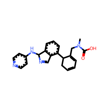 CN(CC1=CC=CCC1c1cccc2c1C=NC2Nc1ccncc1)C(=O)O